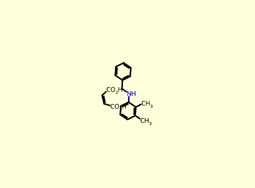 Cc1cccc(NCc2ccccc2)c1C.O=C(O)/C=C\C(=O)O